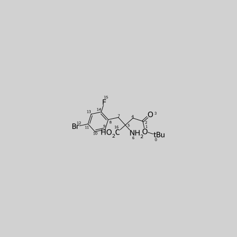 CC(C)(C)OC(=O)CC(N)(Cc1ccc(Br)cc1F)C(=O)O